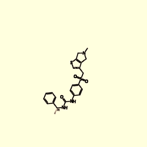 C[C@@H](NC(=O)Nc1ccc(S(=O)(=O)Cc2csc3c2CN(C)C3)cc1)c1ccccc1